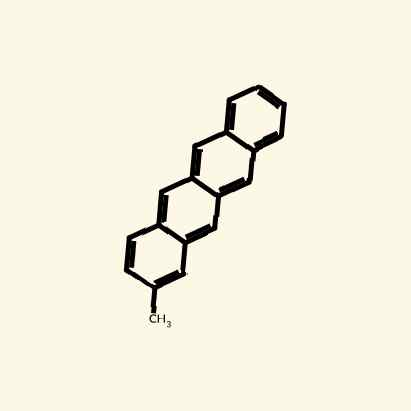 Cc1[c]c2cc3cc4ccccc4cc3cc2cc1